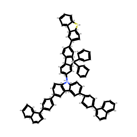 c1ccc([Si]2(c3ccccc3)c3cc(-c4ccc5sc6ccccc6c5c4)ccc3-c3ccc(-n4c5ccc(-c6ccc(-c7cccc8ccccc78)cc6)cc5c5cc(-c6ccc(-c7cccc8ccccc78)cc6)ccc54)cc32)cc1